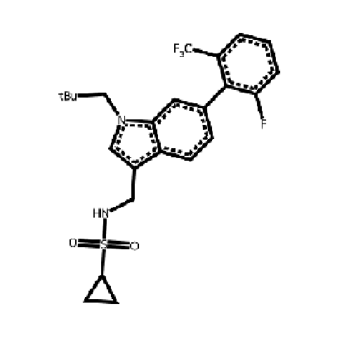 CC(C)(C)Cn1cc(CNS(=O)(=O)C2CC2)c2ccc(-c3c(F)cccc3C(F)(F)F)cc21